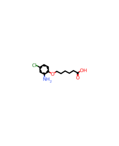 Nc1cc(Cl)ccc1OCCCCCC(=O)O